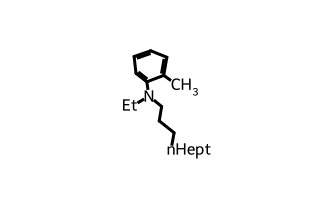 CCCCCCCCCCN(CC)c1ccccc1C